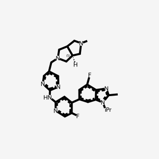 Cc1nc2c(F)cc(-c3cc(Nc4ncc(CN5CC6CN(C)C[C@H]6C5)cn4)ncc3F)cc2n1C(C)C